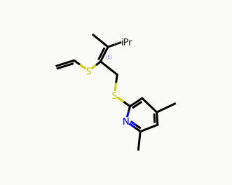 C=CS/C(CSc1cc(C)cc(C)n1)=C(\C)C(C)C